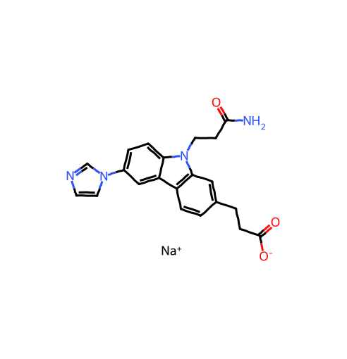 NC(=O)CCn1c2ccc(-n3ccnc3)cc2c2ccc(CCC(=O)[O-])cc21.[Na+]